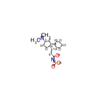 CN(C)c1ccc(C=CC(=O)N=S(=O)=O)cc1.c1ccccc1